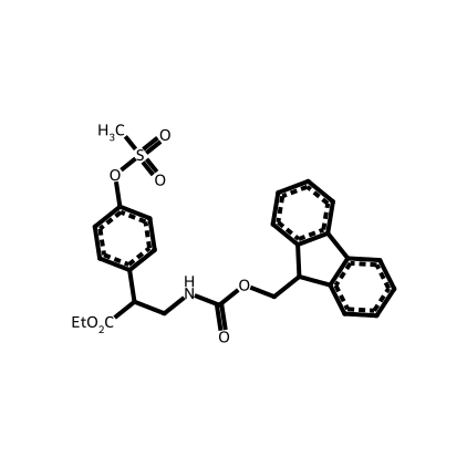 CCOC(=O)C(CNC(=O)OCC1c2ccccc2-c2ccccc21)c1ccc(OS(C)(=O)=O)cc1